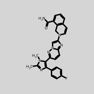 Cc1nc(-c2ccc(F)cc2)c(-c2ccc3nc(N4C=Cc5cccc(C(N)=O)c5C4)cn3n2)n1C